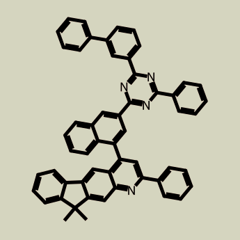 CC1(C)c2ccccc2-c2cc3c(-c4cc(-c5nc(-c6ccccc6)nc(-c6cccc(-c7ccccc7)c6)n5)cc5ccccc45)cc(-c4ccccc4)nc3cc21